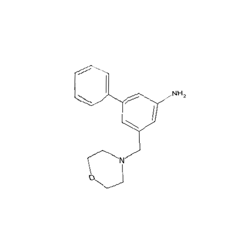 Nc1cc(CN2CCOCC2)cc(-c2ccccc2)c1